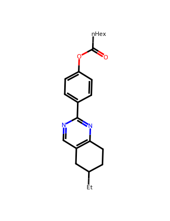 CCCCCCC(=O)Oc1ccc(-c2ncc3c(n2)CCC(CC)C3)cc1